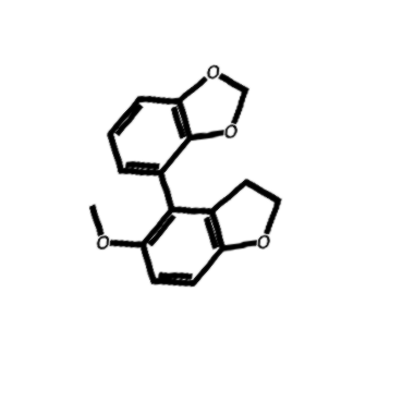 COc1ccc2c(c1-c1cccc3c1OCO3)CCO2